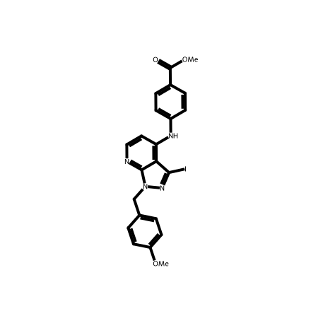 COC(=O)c1ccc(Nc2ccnc3c2c(I)nn3Cc2ccc(OC)cc2)cc1